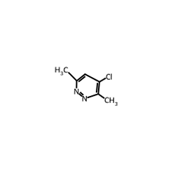 Cc1cc(Cl)c(C)nn1